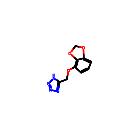 [c]1ccc2c(c1OCc1nnn[nH]1)OCO2